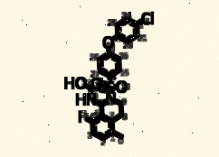 Cc1ccc(F)c2c1CCN(S(=O)(=O)c1ccc(Oc3ccc(Cl)cc3)cc1)C2NC(=O)O